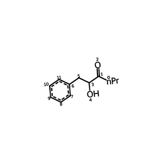 CCCC(=O)C(O)Cc1ccccc1